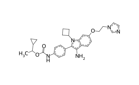 CC(OC(=O)Nc1ccc(-c2c(N)c3ccc(OCCn4ccnc4)cc3n2C2CCC2)cc1)C1CC1